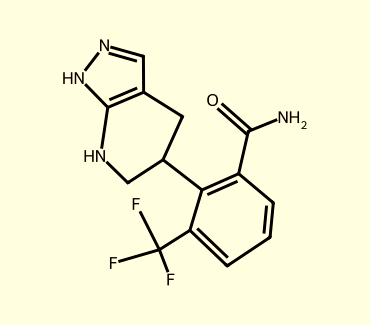 NC(=O)c1cccc(C(F)(F)F)c1C1CNc2[nH]ncc2C1